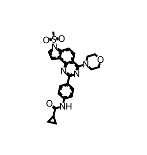 CS(=O)(=O)n1ccc2c3nc(-c4ccc(NC(=O)C5CC5)cc4)nc(N4CCOCC4)c3ccc21